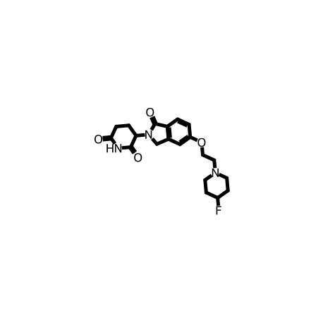 O=C1CCC(N2Cc3cc(OCCN4CCC(F)CC4)ccc3C2=O)C(=O)N1